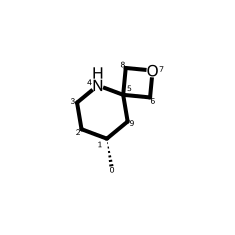 C[C@@H]1CCNC2(COC2)C1